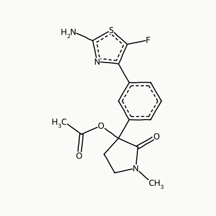 CC(=O)OC1(c2cccc(-c3nc(N)sc3F)c2)CCN(C)C1=O